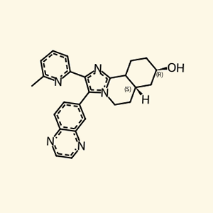 Cc1cccc(-c2nc3n(c2-c2ccc4nccnc4c2)CC[C@H]2C[C@H](O)CCC32)n1